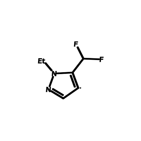 CCn1nc[c]c1C(F)F